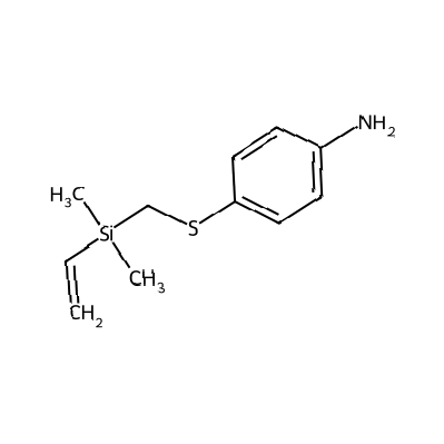 C=C[Si](C)(C)CSc1ccc(N)cc1